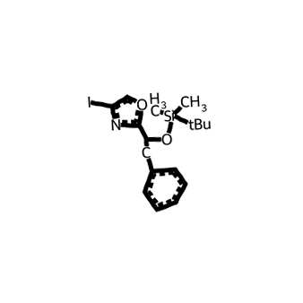 CC(C)(C)[Si](C)(C)OC(Cc1ccccc1)c1nc(I)co1